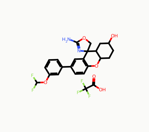 NC1=NC2(CO1)c1cc(-c3cccc(OC(F)F)c3)ccc1OC1CCC(O)CC12.O=C(O)C(F)(F)F